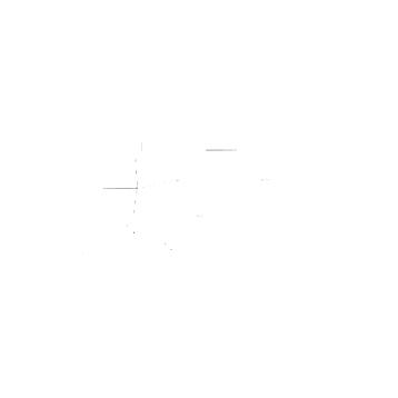 CCCN1N=C2C=C(Cl)C=CC2C1(C)C